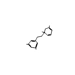 OC1=CC=CC(O)(CCc2cc(O)cc(O)c2)C1